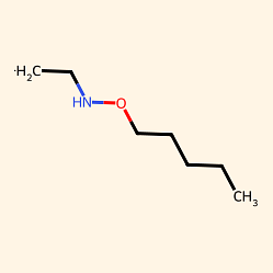 [CH2]CNOCCCCC